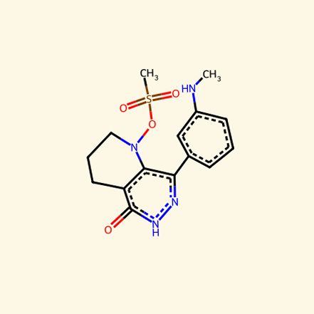 CNc1cccc(-c2n[nH]c(=O)c3c2N(OS(C)(=O)=O)CCC3)c1